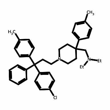 CCN(CC)CC1(c2ccc(C)cc2)CCN(CCC(c2ccccc2)(c2ccc(C)cc2)c2ccc(Cl)cc2)CC1